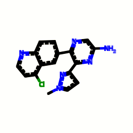 Cn1ccc(-c2nc(N)cnc2-c2ccc3nccc(Cl)c3c2)n1